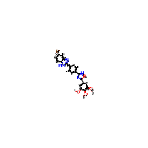 COc1cc(-c2nc(-c3ccc(-c4nc5cc(Br)ccc5[nH]4)cc3)no2)cc(OC)c1OC